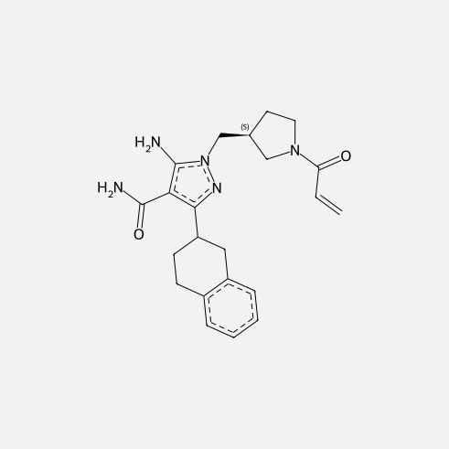 C=CC(=O)N1CC[C@H](Cn2nc(C3CCc4ccccc4C3)c(C(N)=O)c2N)C1